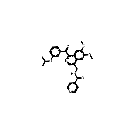 COc1cc2c(CNC(=O)c3ccncc3)cnc(C(=O)c3cccc(OC(C)C)c3)c2cc1OC